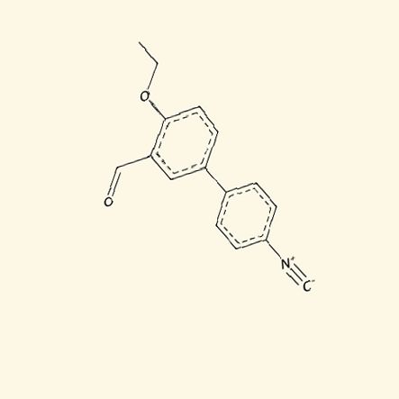 [C-]#[N+]c1ccc(-c2ccc(OCC)c(C=O)c2)cc1